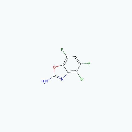 Nc1nc2c(Br)c(F)cc(F)c2o1